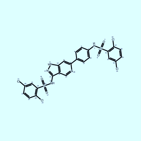 O=S(=O)(Nc1ccc(-c2cc3[nH]nc(NS(=O)(=O)c4cc(Cl)ccc4Cl)c3cn2)cc1)c1cc(Cl)ccc1Cl